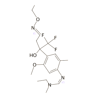 CCO/N=C/CC(O)(c1cc(C)c(/N=C\N(C)CC)cc1OC)C(F)(F)F